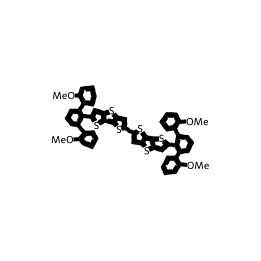 COc1ccccc1-c1cccc(-c2ccccc2OC)c1-c1cc2sc3cc(-c4cc5sc6cc(-c7c(-c8ccccc8OC)cccc7-c7ccccc7OC)sc6c5s4)sc3c2s1